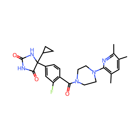 Cc1cc(C)c(N2CCN(C(=O)c3ccc(C4(C5CC5)NC(=O)NC4=O)cc3F)CC2)nc1C